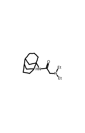 CCN(CC)CC(=O)NC12CCCC(C1)C1CCC2C1